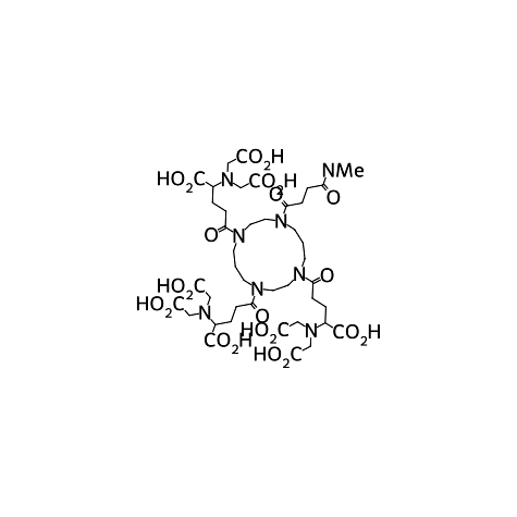 CNC(=O)CCC(=O)N1CCCN(C(=O)CCC(C(=O)O)N(CC(=O)O)CC(=O)O)CCN(C(=O)CCC(C(=O)O)N(CC(=O)O)CC(=O)O)CCCN(C(=O)CCC(C(=O)O)N(CC(=O)O)CC(=O)O)CC1